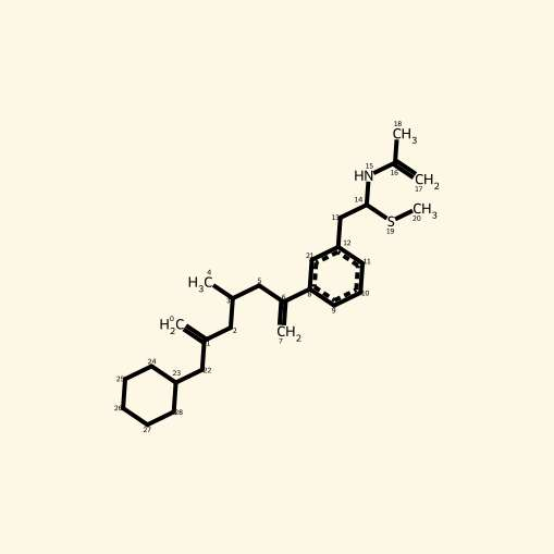 C=C(CC(C)CC(=C)c1cccc(CC(NC(=C)C)SC)c1)CC1CCCCC1